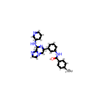 CC(C)(C)c1ccc(C(=O)Nc2cccc(-c3cn4ccnc4c(Nc4cccnc4)n3)c2)cc1